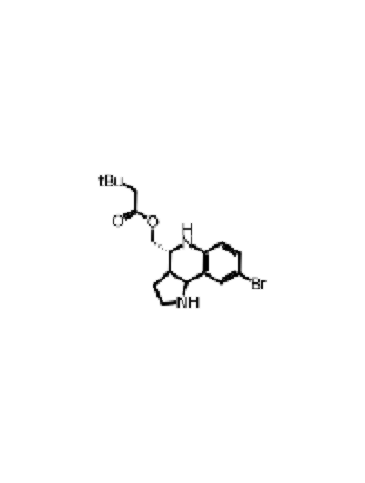 CC(C)(C)CC(=O)OC[C@@H]1Nc2ccc(Br)cc2C2NCCC21